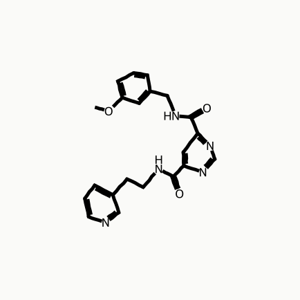 COc1cccc(CNC(=O)c2cc(C(=O)NCCc3cccnc3)ncn2)c1